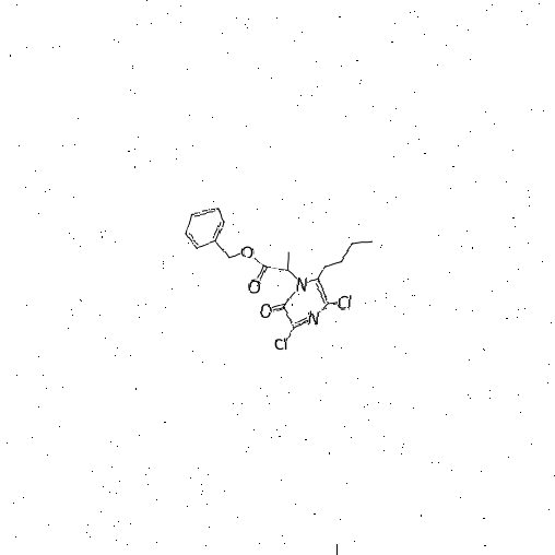 CCCCc1c(Cl)nc(Cl)c(=O)n1C(C)C(=O)OCc1ccccc1